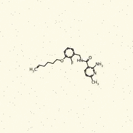 C=CCCCCOc1cccc(CNC(=O)c2ccc(C)nc2N)c1F